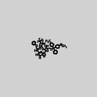 COc1ccc(C(OC[C@H]2O[C@@H](n3cnc4c(=O)[nH]c(NC(=O)COc5ccccc5)nc43)[C@@H](OCOCC(C(F)(F)F)C(F)(F)F)C2O)(c2ccccc2)c2ccc(C)cc2)cc1